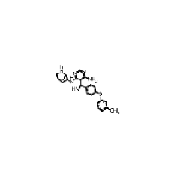 Cc1cccc(Oc2ccc(C(=N)c3c(N)ncnc3NC3CC4CNC3C4)cc2)c1